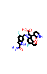 NC(=O)c1cc2cc(F)c(Cn3c(C(=O)O)c(-c4ccc[nH]c4=O)c4c5occc5c(F)cc43)cc2[nH]1